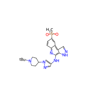 CC(C)(C)N1CCC(n2cc(Nc3nc4ccc(S(C)(=O)=O)cc4c4cn[nH]c34)cn2)CC1